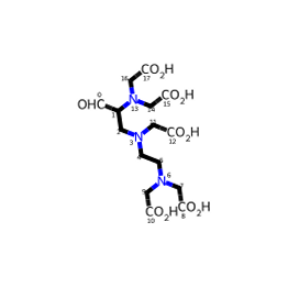 O=CC(CN(CCN(CC(=O)O)CC(=O)O)CC(=O)O)N(CC(=O)O)CC(=O)O